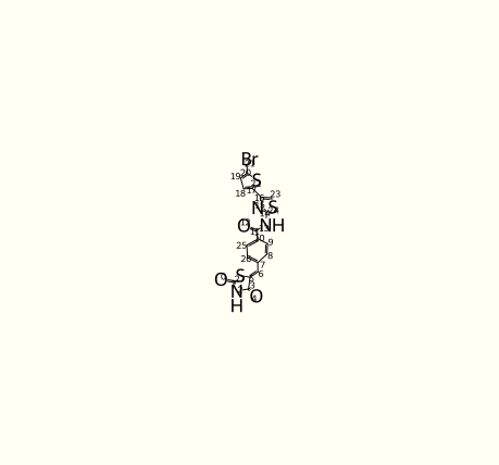 O=C1NC(=O)C(=Cc2ccc(C(=O)Nc3nc(-c4ccc(Br)s4)cs3)cc2)S1